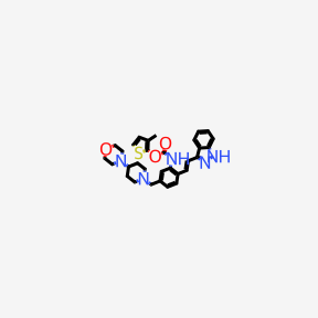 Cc1ccsc1OC(=O)Nc1cc(CN2CCC(N3CCOCC3)CC2)ccc1/C=C/c1n[nH]c2ccccc12